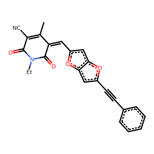 CCN1C(=O)C(C#N)=C(C)/C(=C/c2cc3oc(C#Cc4ccccc4)cc3o2)C1=O